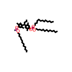 CCCCCCCCCCCCCOP(C)Oc1cc(C)c(C(CCC)c2cc(C)c(OP(OCCCCCCCCCCCCC)OCCCCCCCCCCCCC)cc2C)cc1C